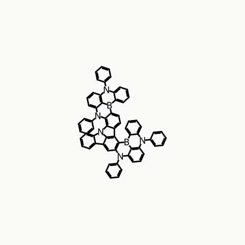 c1ccc(N2c3ccccc3B3c4c2cccc4N(c2ccccc2)c2cc4c5ccccc5n5c6c7c(ccc6c(c23)c45)B2c3ccccc3N(c3ccccc3)c3cccc(c32)N7c2ccccc2)cc1